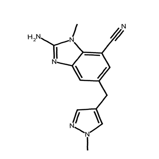 Cn1cc(Cc2cc(C#N)c3c(c2)nc(N)n3C)cn1